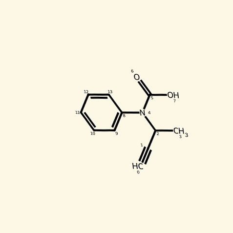 C#CC(C)N(C(=O)O)c1ccccc1